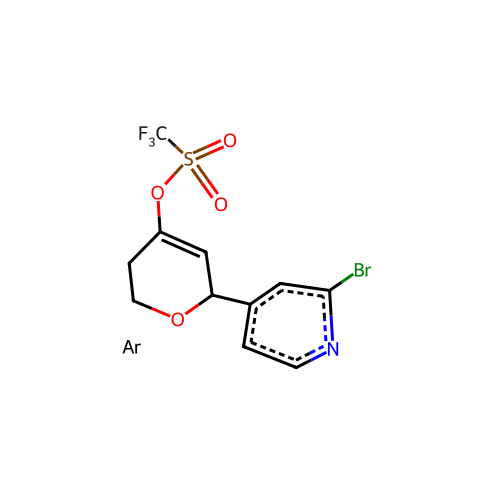 O=S(=O)(OC1=CC(c2ccnc(Br)c2)OCC1)C(F)(F)F.[Ar]